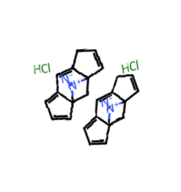 Cl.Cl.[N-]=[N+]1C23C=CC=C2C=C2CC=CC21C3.[N-]=[N+]1C23C=CC=C2C=C2CC=CC21C3